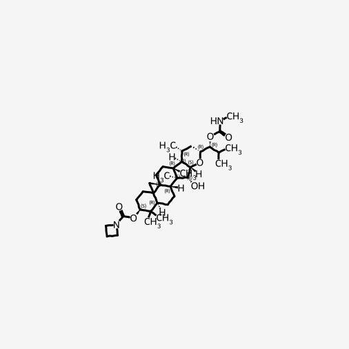 CNC(=O)O[C@H](C(C)C)[C@H]1C[C@@H](C)[C@H]2[C@H](O1)[C@H](O)[C@@]1(C)[C@@H]3CC[C@H]4C(C)(C)[C@@H](OC(=O)N5CCC5)CCC45C[C@@]35CC[C@]21C